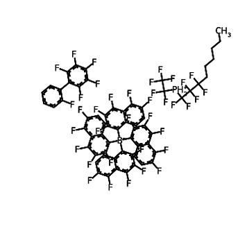 CCCCCCC(F)(F)C(F)(F)C(F)(F)[PH2+]C(F)(F)C(F)(F)F.Fc1ccc2c([B-](c3c(F)c(F)c(F)c4c(F)c(F)ccc34)(c3c(F)c(F)c(F)c4c(F)c(F)ccc34)c3c(F)c(F)c(F)c4c(F)c(F)ccc34)c(F)c(F)c(F)c2c1F.Fc1ccccc1-c1c(F)c(F)c(F)c(F)c1F